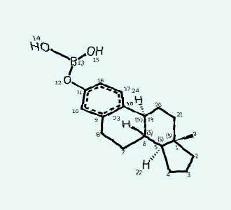 C[C@@]12CCC[C@H]1[C@@H]1CCc3cc(OB(O)O)ccc3[C@H]1CC2